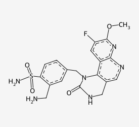 COc1nc2ncc3c(c2cc1F)N(Cc1ccc(S(N)(=O)=O)c(CN)c1)C(=O)NC3